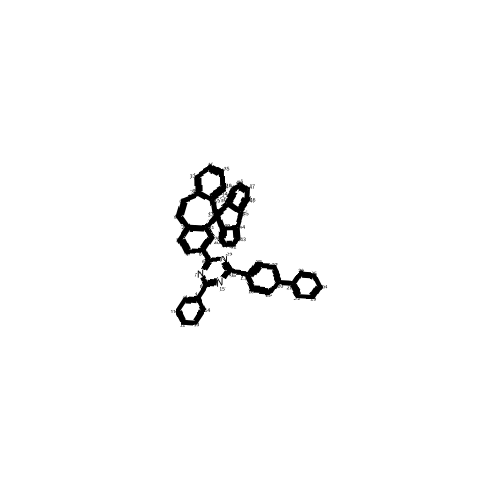 C1=Cc2ccc(-c3nc(-c4ccccc4)nc(-c4ccc(-c5ccccc5)cc4)n3)cc2C2(c3ccccc31)c1ccccc1-c1ccccc12